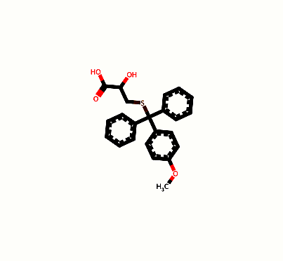 COc1ccc(C(SCC(O)C(=O)O)(c2ccccc2)c2ccccc2)cc1